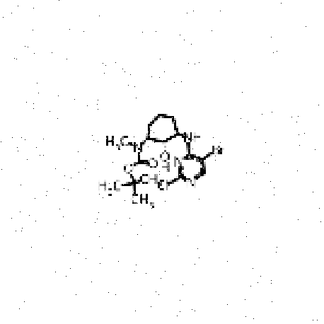 CN(C(=O)OC(C)(C)C)[C@H]1CCCC(Nc2nc(Cl)ncc2Br)[C@@H]1O